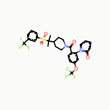 CC(C)(C1CCN(C(=O)c2ccc(OC(F)(F)F)cc2-n2ccccc2=O)CC1)S(=O)(=O)c1cccc(C(F)(F)F)c1